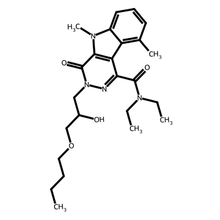 CCCCOCC(O)Cn1nc(C(=O)N(CC)CC)c2c3c(C)cccc3n(C)c2c1=O